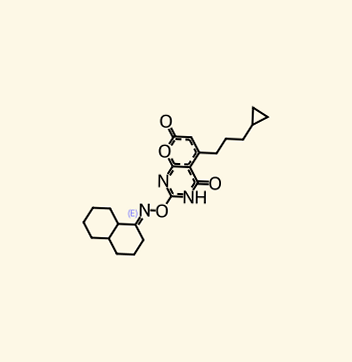 O=c1cc(CCCC2CC2)c2c(=O)[nH]c(O/N=C3\CCCC4CCCCC34)nc2o1